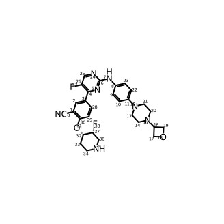 N#Cc1cc(-c2nc(Nc3ccc(N4CCN(C5COC5)CC4)cc3)ncc2F)ccc1O[C@H]1CCNC[C@H]1F